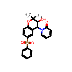 CC1(C)Oc2ccc(S(=O)(=O)c3ccccc3)cc2C(n2ccccc2=O)C1O